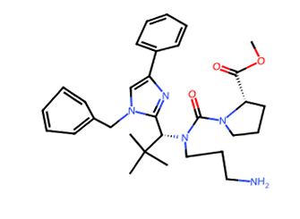 COC(=O)[C@@H]1CCCN1C(=O)N(CCCN)[C@@H](c1nc(-c2ccccc2)cn1Cc1ccccc1)C(C)(C)C